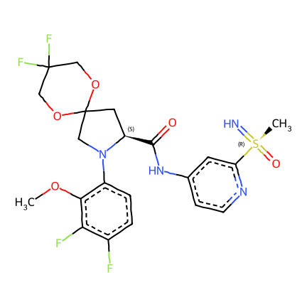 COc1c(N2CC3(C[C@H]2C(=O)Nc2ccnc([S@](C)(=N)=O)c2)OCC(F)(F)CO3)ccc(F)c1F